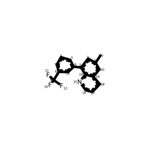 Cc1cc(-c2cccc(C(F)(F)F)c2)c2ncccc2c1